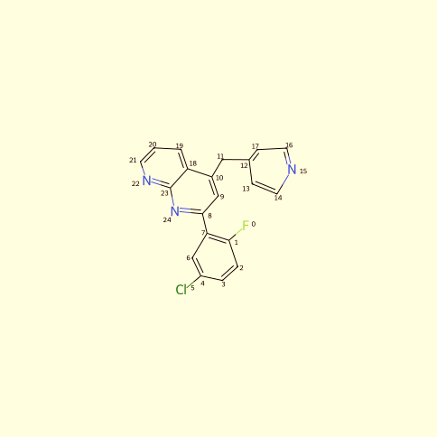 Fc1ccc(Cl)cc1-c1cc(Cc2ccncc2)c2cccnc2n1